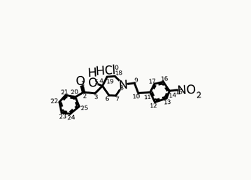 Cl.O=C(CC1(O)CCN(CCc2ccc([N+](=O)[O-])cc2)CC1)c1ccccc1